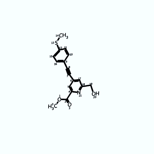 COC(=O)c1cc(C#Cc2ccc(SC)cc2)cc(CO)n1